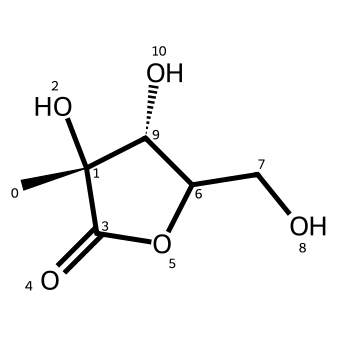 C[C@]1(O)C(=O)OC(CO)[C@H]1O